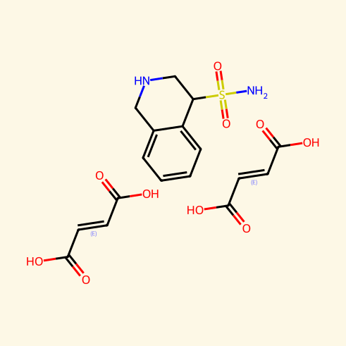 NS(=O)(=O)C1CNCc2ccccc21.O=C(O)/C=C/C(=O)O.O=C(O)/C=C/C(=O)O